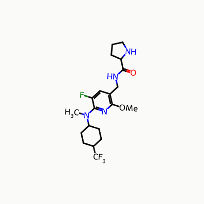 COc1nc(N(C)C2CCC(C(F)(F)F)CC2)c(F)cc1CNC(=O)C1CCCN1